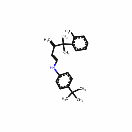 C=C(C=CNc1ccc(C(C)(C)C)cc1)C(C)(C)c1ccccc1C